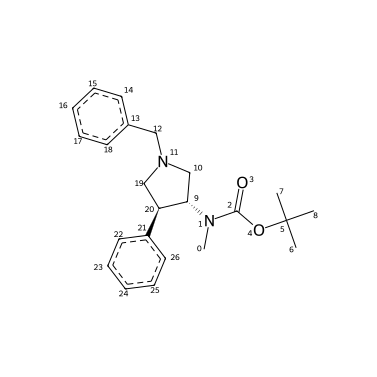 CN(C(=O)OC(C)(C)C)[C@H]1CN(Cc2ccccc2)C[C@@H]1c1ccccc1